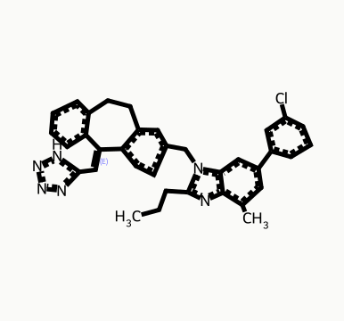 CCCc1nc2c(C)cc(-c3cccc(Cl)c3)cc2n1Cc1ccc2c(c1)CCc1ccccc1/C2=C\c1nnn[nH]1